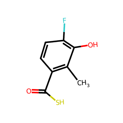 Cc1c(C(=O)S)ccc(F)c1O